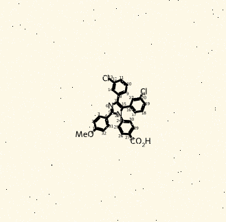 COc1ccc(-c2nc(-c3cccc(Cl)c3)c(-c3cccc(Cl)c3)n2-c2ccc(C(=O)O)cc2)cc1